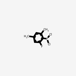 Cc1cc(C)c(P(Cl)Cl)c(F)c1